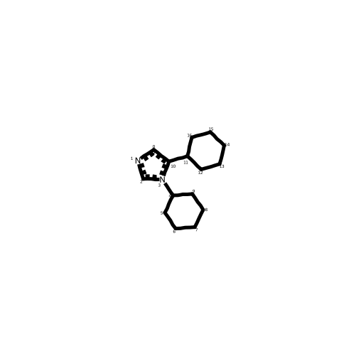 c1ncn(C2CCCCC2)c1C1CCCCC1